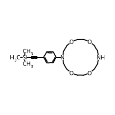 C[Si](C)(C)C#Cc1ccc(N2CCOCCOCCNCCOCCOCC2)cc1